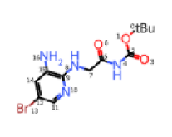 CC(C)(C)OC(=O)NC(=O)CNc1ncc(Br)cc1N